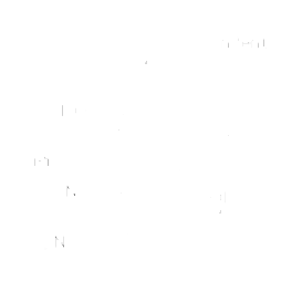 CCCCCc1cc(O)c(-c2ccnn2C(C)C)c(O)c1